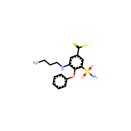 CCCCNc1cc(C(=S)S)cc(S(N)(=O)=O)c1Oc1ccccc1